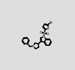 O=S(=O)(c1ccc(Br)s1)n1cc(C2CCN(Cc3ccccc3)C2)c2ccccc21